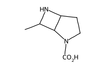 CC1NC2CCN(C(=O)O)C12